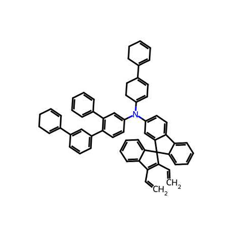 C=CC1=C(C=C)C2(c3ccccc31)c1ccccc1-c1ccc(N(C3=CC=C(C4=CC=CCC4)CC3)c3ccc(-c4cccc(C5=CCCC=C5)c4)c(-c4ccccc4)c3)cc12